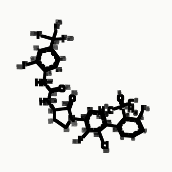 CP(C)(=O)c1c(F)cccc1-c1ccc(N2CC[C@@H](NC(=O)Nc3ccc(C(F)(F)F)cc3F)C2=O)c(F)c1Cl